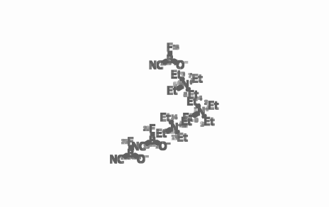 CC[N+](CC)(CC)CC.CC[N+](CC)(CC)CC.CC[N+](CC)(CC)CC.N#CB([O-])F.N#CB([O-])F.N#CB([O-])F